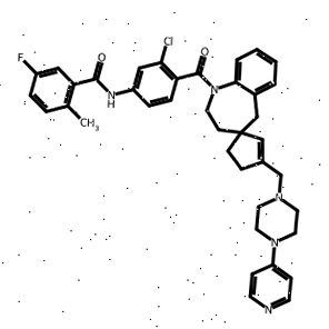 Cc1ccc(F)cc1C(=O)Nc1ccc(C(=O)N2CCC3(C=C(CN4CCN(c5ccncc5)CC4)CC3)Cc3ccccc32)c(Cl)c1